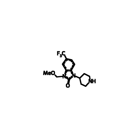 COCn1c(=O)n(C2CCNCC2)c2ccc(C(F)(F)F)cc21